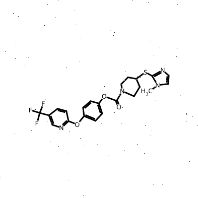 Cn1ccnc1SC1CCN(C(=O)Oc2ccc(Oc3ccc(C(F)(F)F)cn3)cc2)CC1